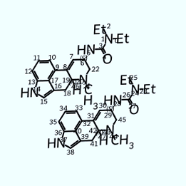 CCN(CC)C(=O)N[C@H]1C=C2c3cccc4[nH]cc(c34)C[C@H]2N(C)C1.CCN(CC)C(=O)N[C@H]1C=C2c3cccc4[nH]cc(c34)C[C@H]2N(C)C1